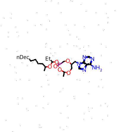 CCCCCCCCCCCCCCC(C)OC(CC)OP1(=O)COC(Cn2cnc3c(N)ncnc32)COC(C)O1